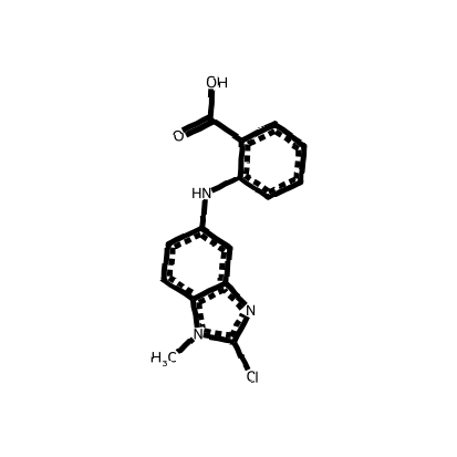 Cn1c(Cl)nc2cc(Nc3ccccc3C(=O)O)ccc21